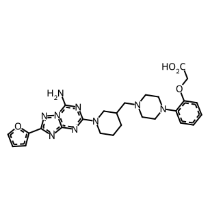 Nc1nc(N2CCCC(CN3CCN(c4ccccc4OCC(=O)O)CC3)C2)nc2nc(-c3ccco3)nn12